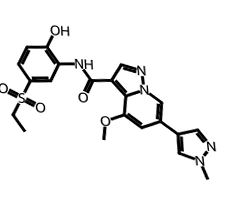 CCS(=O)(=O)c1ccc(O)c(NC(=O)c2cnn3cc(-c4cnn(C)c4)cc(OC)c23)c1